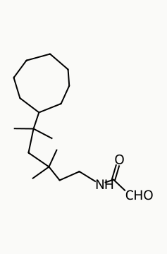 CC(C)(CCNC(=O)C=O)CC(C)(C)C1CCCCCCC1